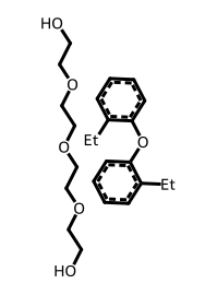 CCc1ccccc1Oc1ccccc1CC.OCCOCCOCCOCCO